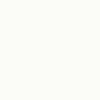 COCCCNC1=CC(C(C#N)C(=O)OCC(C)C)CCC1